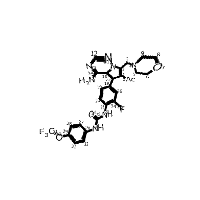 CC(=O)C1=C(CN2CCOCC2)N2N=CN=C(N)C2C1c1ccc(NC(=O)Nc2ccc(OC(F)(F)F)cc2)c(F)c1